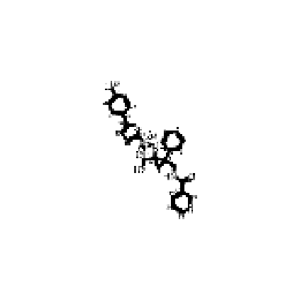 O=C(NCC1(c2ccccc2)CC1(NS(=O)(=O)c1ccc(-c2ccc(Cl)cc2)s1)C(=O)O)c1cccnc1